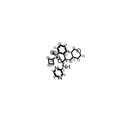 O=C(Nc1cnccn1)[C@H](CC1CCOCC1)c1ccccc1S(=O)(=O)C1CCC1